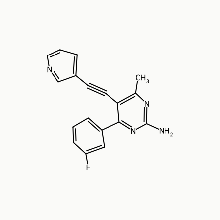 Cc1nc(N)nc(-c2cccc(F)c2)c1C#Cc1cccnc1